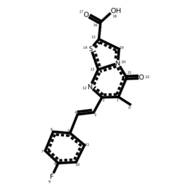 Cc1c(/C=C/c2ccc(F)cc2)nc2sc(C(=O)O)cn2c1=O